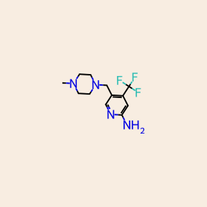 CN1CCN(Cc2cnc(N)cc2C(F)(F)F)CC1